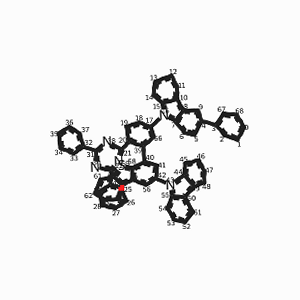 c1ccc(-c2ccc3c(c2)c2ccccc2n3-c2ccc(-c3nc(-c4ccccc4)nc(-c4ccccc4)n3)c(-c3cc(-n4c5ccccc5c5ccccc54)cc4c3sc3ccccc34)c2)cc1